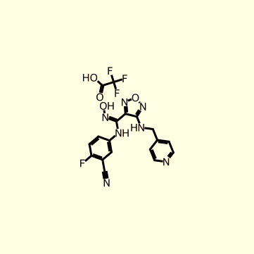 N#Cc1cc(N/C(=N/O)c2nonc2NCc2ccncc2)ccc1F.O=C(O)C(F)(F)F